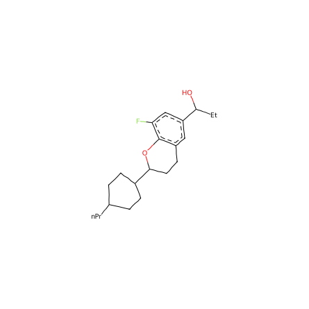 CCCC1CCC(C2CCc3cc(C(O)CC)cc(F)c3O2)CC1